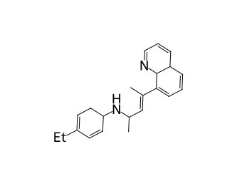 CCC1=CCC(NC(C)/C=C(\C)C2=CC=CC3C=CC=NC23)C=C1